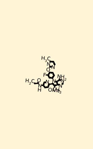 C=CC(=O)Nc1cnc(-c2c(C)c3ncnc(N)c3n2-c2ccc(Oc3nccc(C)n3)c(F)c2)c(OC)c1